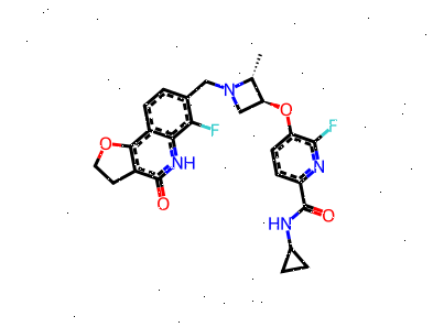 C[C@@H]1[C@@H](Oc2ccc(C(=O)NC3CC3)nc2F)CN1Cc1ccc2c3c(c(=O)[nH]c2c1F)CCO3